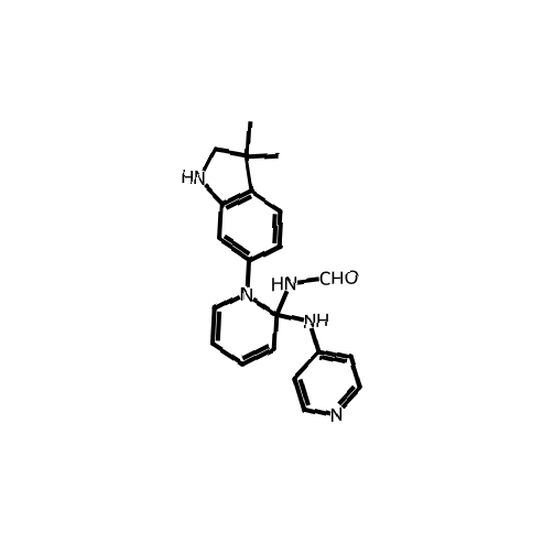 CC1(C)CNc2cc(N3C=CC=CC3(NC=O)Nc3ccncc3)ccc21